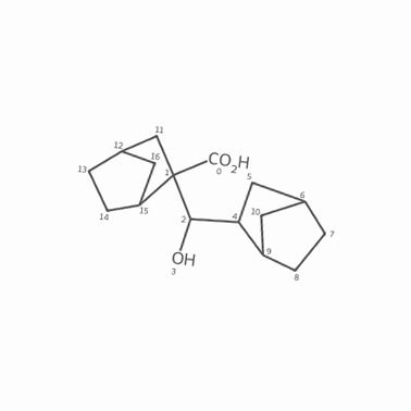 O=C(O)C1(C(O)C2CC3CCC2C3)CC2CCC1C2